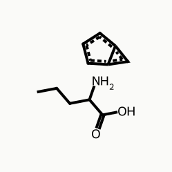 CCCC(N)C(=O)O.c1cc2cc-2c1